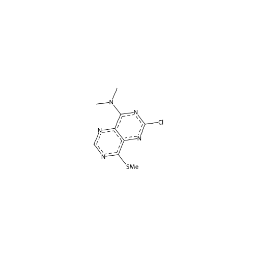 CSc1ncnc2c(N(C)C)nc(Cl)nc12